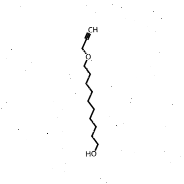 C#CCOCCCCCCCCCCO